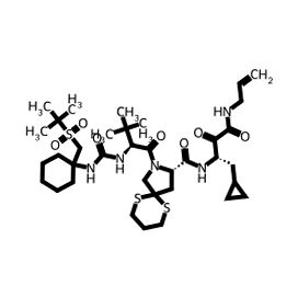 C=CCNC(=O)C(=O)[C@H](CC1CC1)NC(=O)[C@@H]1CC2(CN1C(=O)[C@@H](NC(=O)NC1(CS(=O)(=O)C(C)(C)C)CCCCC1)C(C)(C)C)SCCCS2